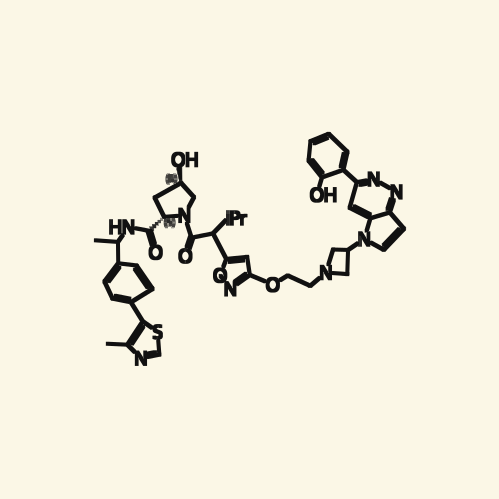 Cc1ncsc1-c1ccc(C(C)NC(=O)[C@@H]2C[C@@H](O)CN2C(=O)C(c2cc(OCCN3CC(n4ccc5nnc(-c6ccccc6O)cc54)C3)no2)C(C)C)cc1